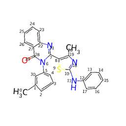 Cc1cccc(-n2c(-c3sc(Nc4ccccc4)nc3C)nc3ccccc3c2=O)c1